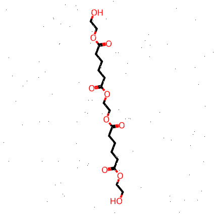 O=C(CCCCC(=O)OCCOC(=O)CCCCC(=O)OCCO)OCCO